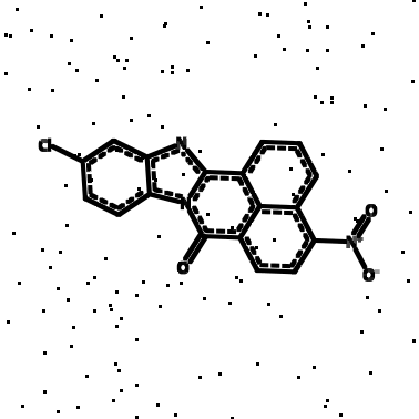 O=c1c2ccc([N+](=O)[O-])c3cccc(c32)c2nc3cc(Cl)ccc3n12